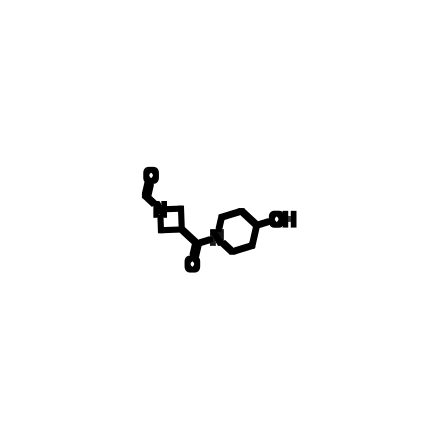 O=CN1CC(C(=O)N2CCC(O)CC2)C1